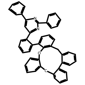 c1ccc(-c2cc(-c3ccccc3-c3cccc4c3Oc3ccccc3Cc3ccccc3-c3ccccc3C4)nc(-c3ccccc3)n2)cc1